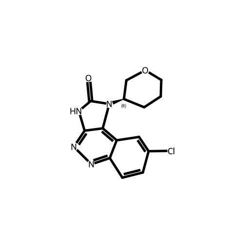 O=c1[nH]c2nnc3ccc(Cl)cc3c2n1[C@@H]1CCCOC1